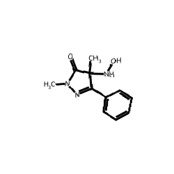 CN1N=C(c2ccccc2)C(C)(NO)C1=O